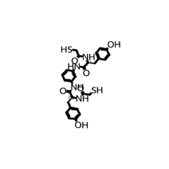 O=C(CS)N[C@@H](Cc1ccc(O)cc1)C(=O)Nc1cccc(NC(=O)[C@H](Cc2ccc(O)cc2)NC(=O)CS)c1